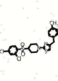 Cc1ccc(Cc2csc(N3CCC(S(=O)(=O)c4ccc(Cl)cc4Cl)CC3)n2)cc1